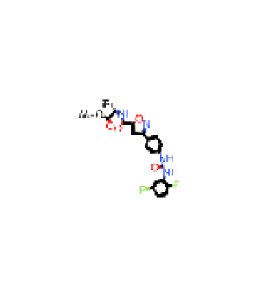 COC(=O)[C@@H](NC(=O)c1cc(-c2ccc(NC(=O)Nc3cc(F)ccc3F)cc2)no1)C(C)C